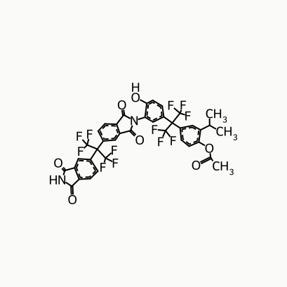 CC(=O)Oc1ccc(C(c2ccc(O)c(N3C(=O)c4ccc(C(c5ccc6c(c5)C(=O)NC6=O)(C(F)(F)F)C(F)(F)F)cc4C3=O)c2)(C(F)(F)F)C(F)(F)F)cc1C(C)C